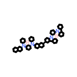 c1ccc2c(c1)B1c3ccccc3N(c3ccc4ccc(-c5ccc6c(c5)c5cccc7c5n6-c5cccc6c5B7c5cccc7c8ccccc8n-6c57)cc4c3)c3cccc(c31)N2c1ccc2ccccc2c1